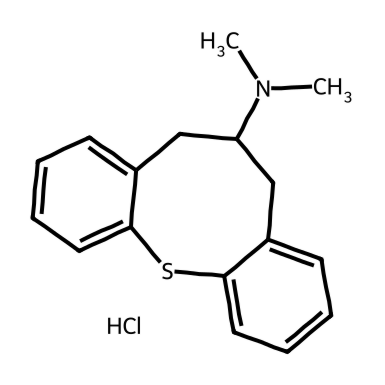 CN(C)C1Cc2ccccc2Sc2ccccc2C1.Cl